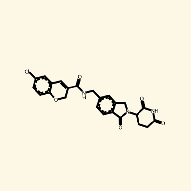 O=C1CCC(N2Cc3cc(CNC(=O)C4=Cc5cc(Cl)ccc5OC4)ccc3C2=O)C(=O)N1